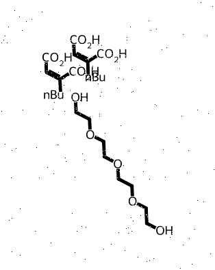 CCCCC(=CC(=O)O)C(=O)O.CCCCC(=CC(=O)O)C(=O)O.OCCOCCOCCOCCO